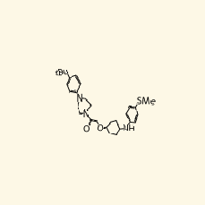 CSc1ccc(NC2CCC(OCC(=O)N3CCN(c4ccc(C(C)(C)C)cc4)CC3)CC2)cc1